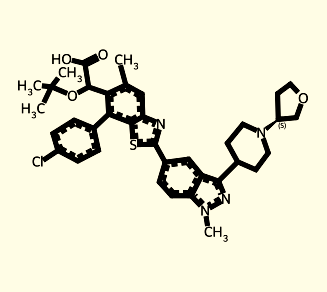 Cc1cc2nc(-c3ccc4c(c3)c(C3CCN([C@H]5CCOC5)CC3)nn4C)sc2c(-c2ccc(Cl)cc2)c1C(OC(C)(C)C)C(=O)O